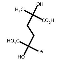 CC(C)C(O)(CCC(C)(O)C(=O)O)C(=O)O